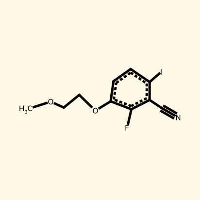 COCCOc1ccc(I)c(C#N)c1F